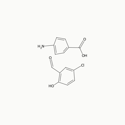 Nc1ccc(C(=O)O)cc1.O=Cc1cc(Cl)ccc1O